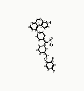 O=S(=O)=C(C1CCN(c2ccnc3cnc4[nH]ccc4c23)CC1)N1CCCC(COc2ccc(F)cc2F)C1